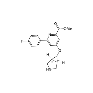 COC(=O)c1cc(OC2[C@H]3CNC[C@@H]23)cc(-c2ccc(F)cc2)n1